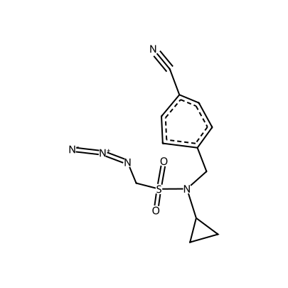 N#Cc1ccc(CN(C2CC2)S(=O)(=O)CN=[N+]=[N-])cc1